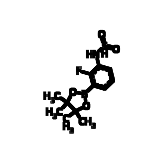 CC1(C)OB(c2cccc(N[SH](=O)=O)c2F)OC1(C)C